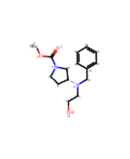 CC(C)(C)OC(=O)N1CC[C@@H](N(CCO)Cc2ccccc2)C1